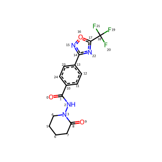 O=C(NN1CCCCC1=O)c1ccc(-c2noc(C(F)(F)F)n2)cc1